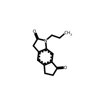 CCCN1C(=O)Cc2cc3c(cc21)C(=O)CC3